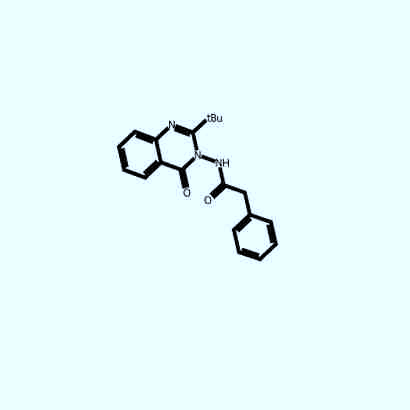 CC(C)(C)c1nc2ccccc2c(=O)n1NC(=O)Cc1ccccc1